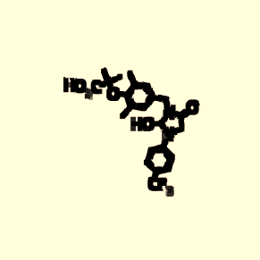 Cc1cc(CN2C(=O)CN(c3ccc(C(F)(F)F)cc3)C2O)cc(C)c1OC(C)(C)C(=O)O